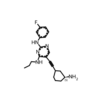 CCCNc1nc(Nc2cccc(F)c2)ncc1C#CC1CCC[C@H](N)C1